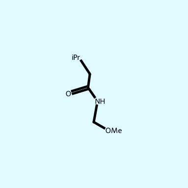 COCNC(=O)CC(C)C